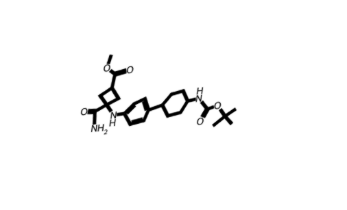 COC(=O)C1CC(Nc2ccc(C3CCC(NC(=O)OC(C)(C)C)CC3)cc2)(C(N)=O)C1